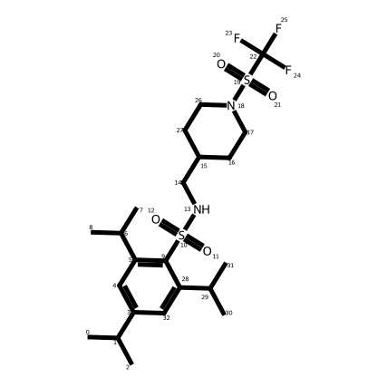 CC(C)c1cc(C(C)C)c(S(=O)(=O)NCC2CCN(S(=O)(=O)C(F)(F)F)CC2)c(C(C)C)c1